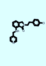 O=C1c2c(cccc2NCc2ccncc2)CN1CCc1ccc(Cl)cc1